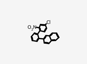 O=[N+]([O-])c1cc(Cl)ccc1-c1ccccc1-c1ccc2ccccc2c1